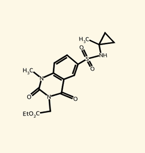 CCOC(=O)Cn1c(=O)c2cc(S(=O)(=O)NC3(C)CC3)ccc2n(C)c1=O